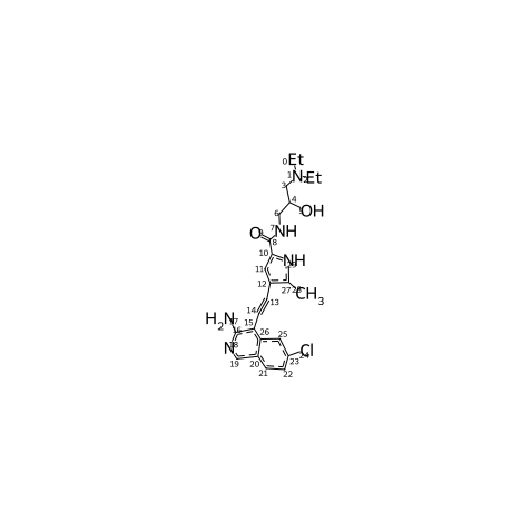 CCN(CC)CC(O)CNC(=O)c1cc(C#Cc2c(N)ncc3ccc(Cl)cc23)c(C)[nH]1